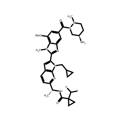 COc1cc(C(=O)N2C[C@H](N)CCN2C)cc2nc(-c3cc4ccc([C@@H](C)NC(=O)C5(C(F)F)CC5)nc4n3CC3CC3)n(C)c12